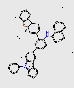 C[C@]12C=C(c3cc(-c4ccc5c(c4)c4ccccc4n5-c4ccccc4)ccc3Nc3cccc4ccccc34)C=CC1c1ccccc1S2